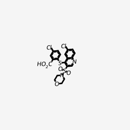 O=C(O)c1cc(Cl)ccc1Sc1c(S(=O)(=O)N2CCOCC2)cnc2ccc(Cl)cc12